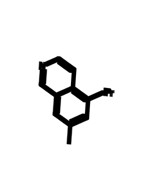 Cc1cc(C(C)C)c2ccncc2c1